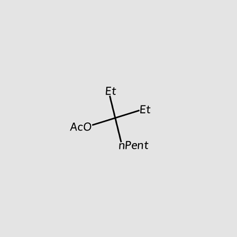 CCCCCC(CC)(CC)OC(C)=O